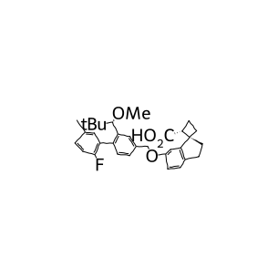 CO[C@H](c1cc(COc2ccc3c(c2)[C@@]2(CC3)CC[C@H]2C(=O)O)ccc1-c1cc(C)ccc1F)C(C)(C)C